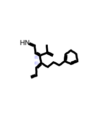 C=C/C=C(CCCC1=CCCC=C1)/C(=C/C=N)C(=C)C